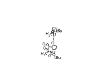 C[C@@H](NC(=O)OC(C)(C)C)[C@H]1OC(=O)O[C@@H]1c1ccccc1OCCO[Si](C)(C)C(C)(C)C